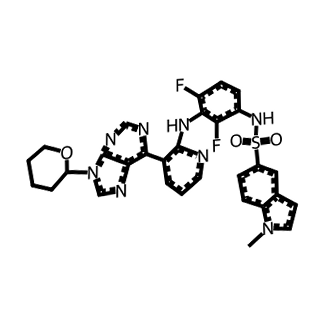 Cn1ccc2cc(S(=O)(=O)Nc3ccc(F)c(Nc4ncccc4-c4ncnc5c4ncn5C4CCCCO4)c3F)ccc21